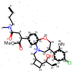 C=CCCN(C)C(=O)CC(C(=O)OC)c1ccc2c(c1)N(CC1CCC1C(O)C=C)CC(c1ccc(Cl)cc1CCC)CO2